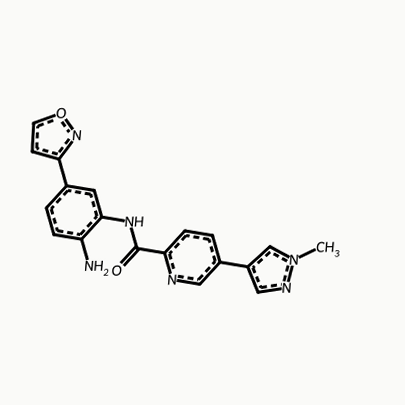 Cn1cc(-c2ccc(C(=O)Nc3cc(-c4ccon4)ccc3N)nc2)cn1